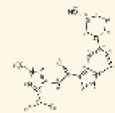 Cn1cc(NC(=O)c2cnn3ccc(N4CCC[C@@H](O)C4)nc23)c(C(F)F)n1